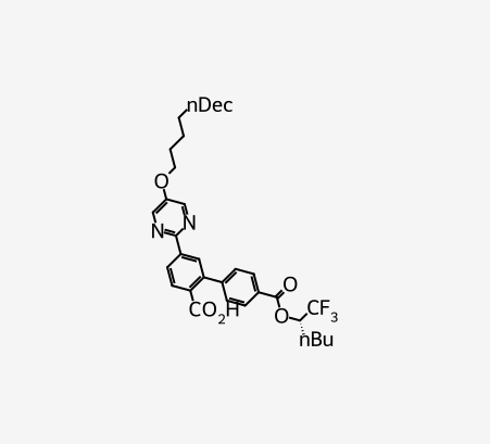 CCCCCCCCCCCCCCOc1cnc(-c2ccc(C(=O)O)c(-c3ccc(C(=O)O[C@@H](CCCC)C(F)(F)F)cc3)c2)nc1